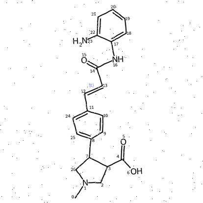 CN1CC(C(=O)O)C(c2ccc(/C=C/C(=O)Nc3ccccc3N)cc2)C1